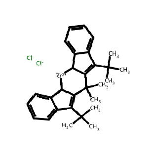 CC(C)(C)C1=C2[CH]([Zr+2][CH]3C(=C(C(C)(C)C)c4ccccc43)C2(C)C)c2ccccc21.[Cl-].[Cl-]